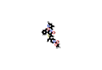 CCC(c1sc2c(c1C)C(=O)N(Cc1c(C)cc(C)nc1OCc1ccccc1)CC2)C1CCN(C(=O)OC(C)(C)C)CC1